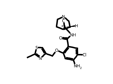 Cc1nc(COc2cc(N)c(Cl)cc2C(=O)N[C@H]2CN3CCC2CC3)cs1